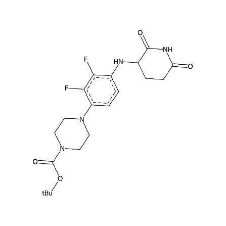 CC(C)(C)OC(=O)N1CCN(c2ccc(NC3CCC(=O)NC3=O)c(F)c2F)CC1